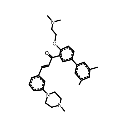 Cc1cc(C)cc(-c2ccc(OCCN(C)C)c(C(=O)C=Cc3cccc(N4CCN(C)CC4)c3)c2)c1